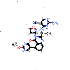 COc1ncc(-c2cccc3nc([C@H](C)Nc4nc(N)ncc4C#N)n(-c4ccon4)c(=O)c23)cn1